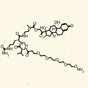 CC(C)[C@H](NC(=O)CCOCCOCCOCCOCCON)C(=O)N[C@@H](CCCNC(N)=O)C(=O)NCCN(C)C(=O)OCC(=O)[C@@]1(O)[C@H](C)C[C@H]2C3CCC4=CC(=O)C=C[C@]4(C)[C@@]3(F)[C@@H](O)C[C@@]21C